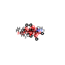 CCC1O[C@H](O[C@@H]2C(OCc3ccccc3)[C@H](O[C@@H]3C(COCc4ccccc4)O[C@@H](OCc4ccccc4)C(NC(C)=O)[C@@H]3C)OC3COC(c4ccccc4)O[C@H]32)C(O[C@H]2OC(CO)[C@@H](C)C(C)C2OCc2ccccc2)C(C)[C@@H]1C